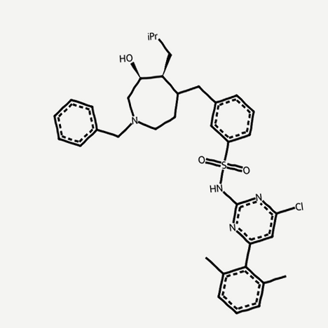 Cc1cccc(C)c1-c1cc(Cl)nc(NS(=O)(=O)c2cccc(CC3CCN(Cc4ccccc4)C[C@@H](O)[C@H]3CC(C)C)c2)n1